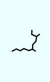 [CH2]CCCCC(C)CCC(C)CC